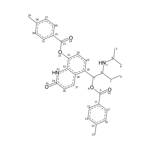 CCC(NC(C)C)C(OC(=O)c1ccc(C)cc1)c1ccc(OC(=O)c2ccc(C)cc2)c2[nH]c(=O)ccc12